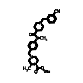 C[C@H]1CN(Cc2ccc(N(C)C(=O)C3CCN(Cc4cccc(C#N)c4)CC3)cc2)CCN1C(=O)OC(C)(C)C